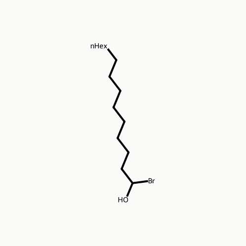 CCCCCCCCCCCCCCC(O)Br